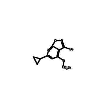 CCOC(=O)Oc1cc(C2CC2)nc2onc(C(C)C)c12